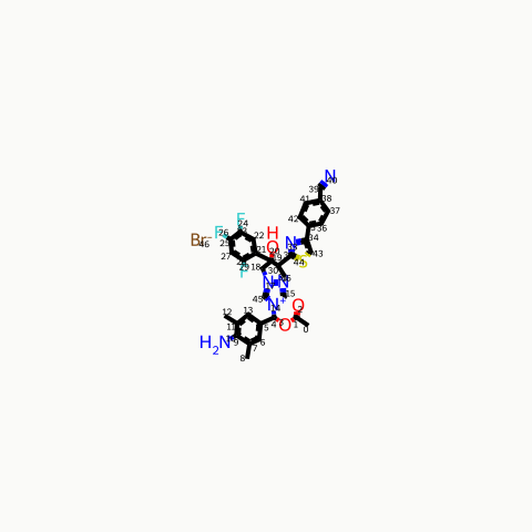 CC(=O)OC(c1cc(C)c(N)c(C)c1)[n+]1cnn(CC(O)(c2cc(F)c(F)cc2F)C(C)c2nc(-c3ccc(C#N)cc3)cs2)c1.[Br-]